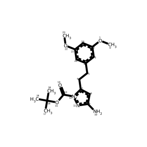 COc1cc(CCc2cc(N)nn2C(=O)OC(C)(C)C)cc(OC)c1